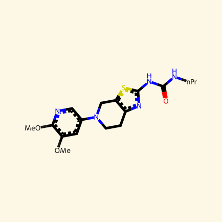 CCCNC(=O)Nc1nc2c(s1)CN(c1cnc(OC)c(OC)c1)CC2